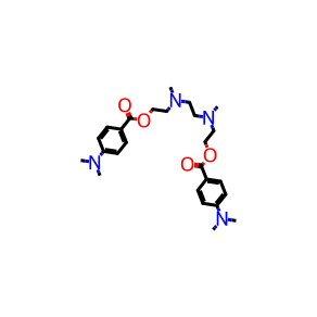 CN(CCOC(=O)c1ccc(N(C)C)cc1)CCN(C)CCOC(=O)c1ccc(N(C)C)cc1